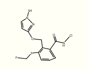 O=C(NCl)c1cccc(SCF)c1COc1ccn(S)n1